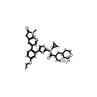 CN1C(=O)Cc2cc(-c3ccc(OCF)cc3-c3csc(N(C(=O)C(CC(=O)O)CC4CCOCC4)C4CC4)n3)cnc21